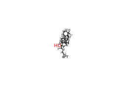 CC(C)CCC[C@@H](C)[C@@]1(O)CC[C@H]2[C@@H]3CC=C4C(C)(C)CCC[C@]4(C)[C@H]3CC[C@@]21C